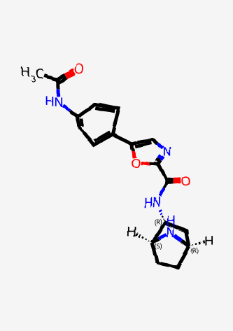 CC(=O)Nc1ccc(-c2cnc(C(=O)N[C@@H]3C[C@H]4CC[C@@H]3N4)o2)cc1